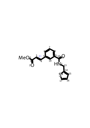 COC(=O)/C=C/c1cccc(C(=O)NCc2cccs2)c1